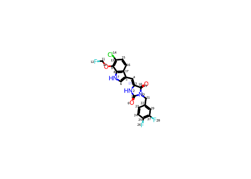 O=C1N/C(=C\c2c[nH]c3c(OCF)c(Cl)ccc23)C(=O)N1Cc1ccc(F)c(F)c1